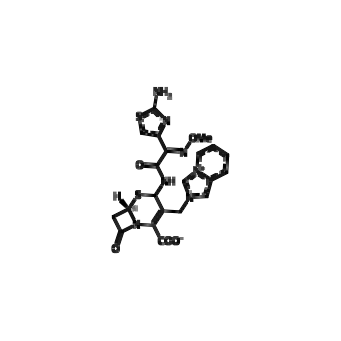 CON=C(C(=O)NC1S[C@H]2CC(=O)N2C(C(=O)[O-])=C1Cn1cc2cccc[n+]2c1)c1csc(N)n1